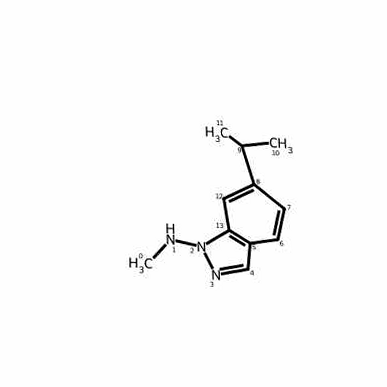 CNn1ncc2ccc(C(C)C)cc21